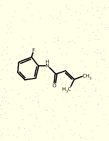 CC(C)=CC(=O)Nc1ccccc1F